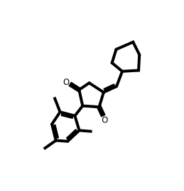 Cc1cc(C)c(C2C(=O)C/C(=C\C3CCCCC3)C2=O)c(C)c1